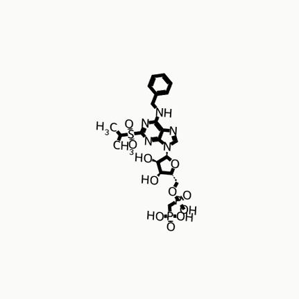 CC(C)S(=O)(=O)c1nc(NCc2ccccc2)c2ncn([C@@H]3O[C@H](COP(=O)(O)CP(=O)(O)O)[C@@H](O)[C@H]3O)c2n1